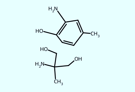 CC(N)(CO)CO.Cc1ccc(O)c(N)c1